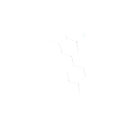 CC1CCC(C2CC(F)C(F)C(F)C2)CC1